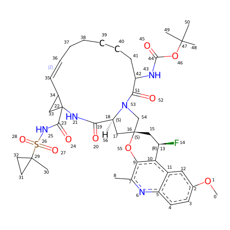 COc1ccc2nc(C)c3c(c2c1)[C@H](F)C[C@]1(C[C@H]2C(=O)NC4(C(=O)NS(=O)(=O)C5(C)CC5)CC4/C=C\CCCCCC(NC(=O)OC(C)(C)C)C(=O)N2C1)O3